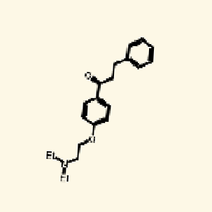 CCN(CC)CCOc1ccc(C(=O)CCc2ccccc2)cc1